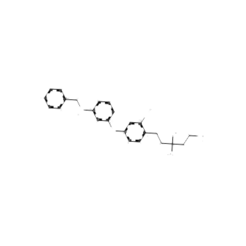 NC(O)(CCO)CCc1ccc(Sc2cccc(OCc3ccccc3)c2)cc1Cl